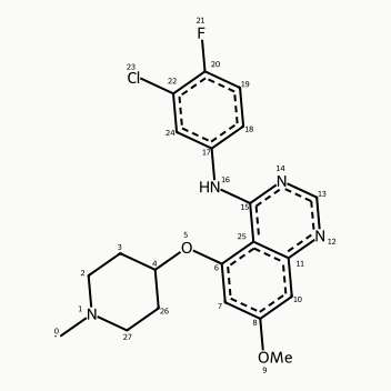 [CH2]N1CCC(Oc2cc(OC)cc3ncnc(Nc4ccc(F)c(Cl)c4)c23)CC1